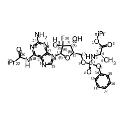 CC(C)OC(=O)[C@H](C)NP(=O)(OC[C@H]1O[C@@H](n2cnc3c(NC(=O)C(C)C)nc(N)nc32)[C@](C)(F)[C@@H]1O)Oc1ccccc1